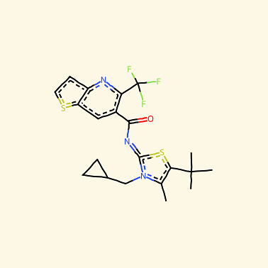 Cc1c(C(C)(C)C)s/c(=N\C(=O)c2cc3sccc3nc2C(F)(F)F)n1CC1CC1